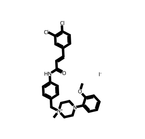 COc1ccccc1N1CC[N+](C)(Cc2ccc(NC(=O)/C=C/c3ccc(Cl)c(Cl)c3)cc2)CC1.[I-]